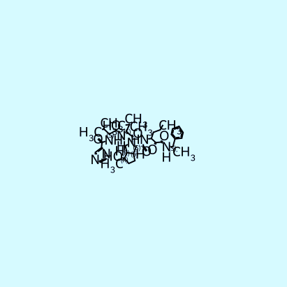 CCCC(NC(=O)[C@@H]1[C@H]2CC[C@@](C)(O)[C@H]2CN1C(=O)[C@@H](NC(=O)[C@@H](NC(=O)c1cnccn1)C(C)C)C(C)(C)C)C(=O)C(=O)N[C@@H](C)c1ccccc1